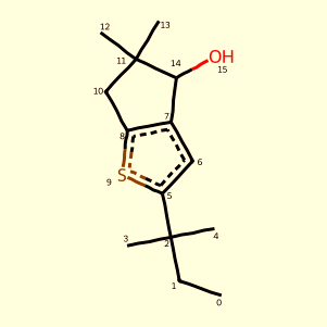 CCC(C)(C)c1cc2c(s1)CC(C)(C)C2O